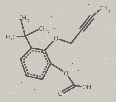 CC#CCOc1c(OC(=O)O)cccc1C(C)(C)C